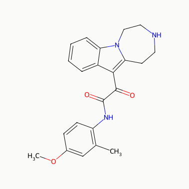 COc1ccc(NC(=O)C(=O)c2c3n(c4ccccc24)CCNCC3)c(C)c1